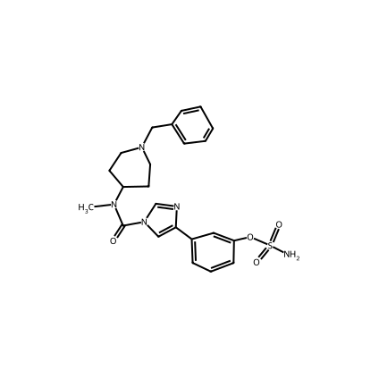 CN(C(=O)n1cnc(-c2cccc(OS(N)(=O)=O)c2)c1)C1CCN(Cc2ccccc2)CC1